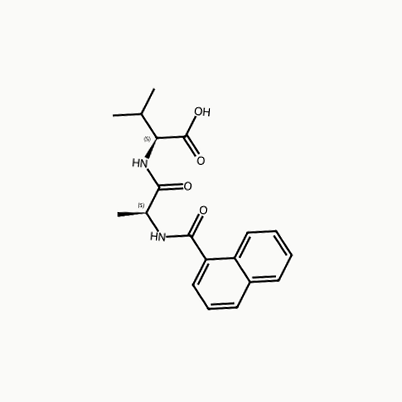 CC(C)[C@H](NC(=O)[C@H](C)NC(=O)c1cccc2ccccc12)C(=O)O